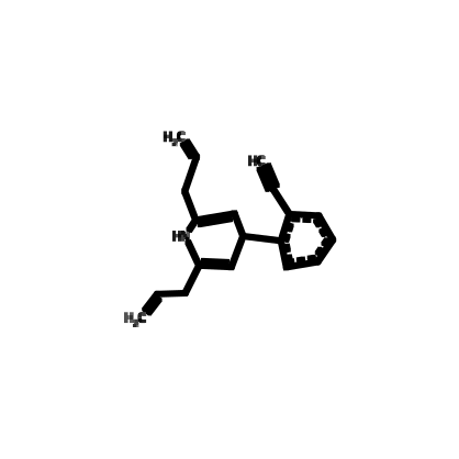 C#Cc1ccccc1C1C=C(CC=C)NC(CC=C)=C1